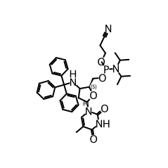 Cc1cn([C@H]2CC(NC(c3ccccc3)(c3ccccc3)c3ccccc3)[C@@H](COP(OCCC#N)N(C(C)C)C(C)C)O2)c(=O)[nH]c1=O